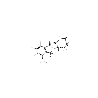 [2H]c1c(C)c(C)c(N([2H])C)c2c1C(=O)N(C1([2H])C(=O)N([2H])C(=O)C([2H])([2H])C1([2H])C)C2([2H])[2H]